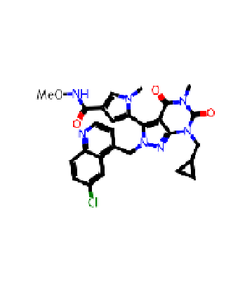 CONC(=O)c1cc(-c2c3c(=O)n(C)c(=O)n(CC4CC4)c3nn2Cc2ccnc3ccc(Cl)cc23)n(C)c1